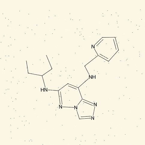 CCC(CC)Nc1cc(NCc2ccccn2)c2nncn2n1